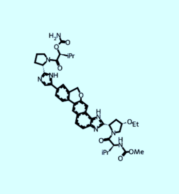 CCO[C@H]1C[C@@H](c2nc3ccc4cc5c(cc4c3[nH]2)OCc2cc(-c3cnc([C@@H]4CCCN4C(=O)[C@@H](OC(N)=O)C(C)C)[nH]3)ccc2-5)N(C(=O)[C@@H](NC(=O)OC)C(C)C)C1